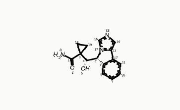 NC(=O)C1([C@@H](O)[C@H]2c3ccccc3-c3cncn32)CC1